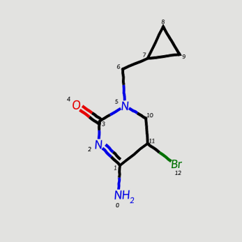 NC1=NC(=O)N(CC2CC2)CC1Br